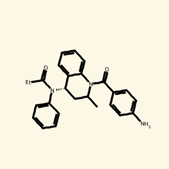 CCC(=O)N(c1ccccc1)[C@H]1CC(C)N(C(=O)c2ccc(N)cc2)c2ccccc21